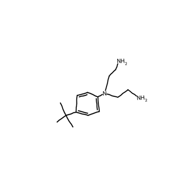 CC(C)(C)c1ccc(N(CCN)CCN)cc1